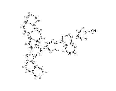 N#Cc1ccc(-c2ccc(-c3ccc(-c4cc5c(sc6ccc7ccccc7c65)c5nc6c7ccc8ccccc8c7ccc6n45)cc3)c3ccccc23)cc1